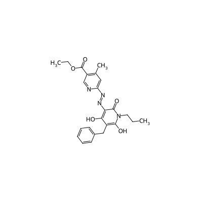 CCCn1c(O)c(Cc2ccccc2)c(O)c(N=Nc2cc(C)c(C(=O)OCC)cn2)c1=O